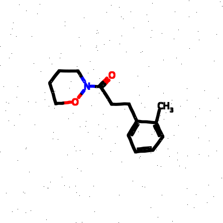 Cc1ccccc1CCC(=O)N1CCCCO1